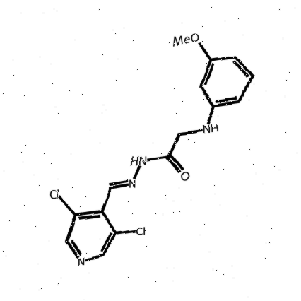 COc1cccc(NCC(=O)N/N=C/c2c(Cl)cncc2Cl)c1